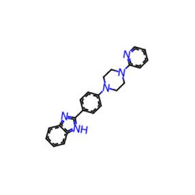 c1ccc(N2CCN(c3ccc(-c4nc5ccccc5[nH]4)cc3)CC2)nc1